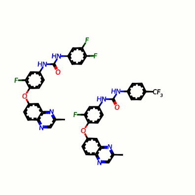 Cc1cnc2ccc(Oc3ccc(NC(=O)Nc4ccc(C(F)(F)F)cc4)cc3F)cc2n1.Cc1cnc2ccc(Oc3ccc(NC(=O)Nc4ccc(F)c(F)c4)cc3F)cc2n1